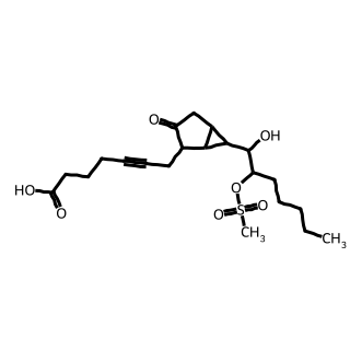 CCCCCC(OS(C)(=O)=O)C(O)C1C2CC(=O)C(CC#CCCCC(=O)O)C21